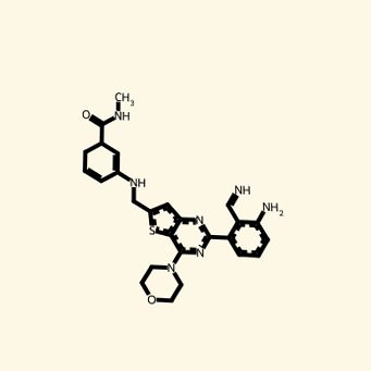 CNC(=O)C1C=C(NCc2cc3nc(-c4cccc(N)c4C=N)nc(N4CCOCC4)c3s2)C=CC1